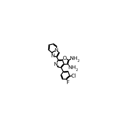 Nc1oc2c(-c3cn4ccccc4n3)ncc(-c3ccc(F)c(Cl)c3)c2c1N